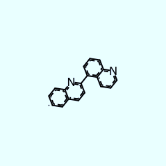 [c]1ccc2nc(-c3cccc4ncccc34)ccc2c1